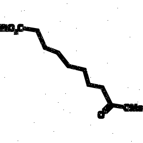 CCOC(=O)CCCCCCCC(=O)OC